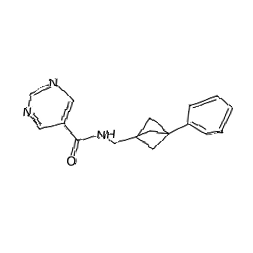 O=C(NCC12CC(c3ccccc3)(C1)C2)c1cncnc1